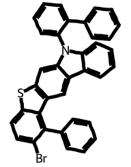 Brc1ccc2sc3cc4c(cc3c2c1-c1ccccc1)c1ccccc1n4-c1ccccc1-c1ccccc1